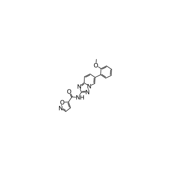 COc1ccccc1-c1ccc2nc(NC(=O)c3ccno3)nn2c1